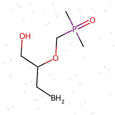 BCC(CO)OCP(C)(C)=O